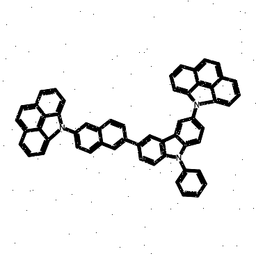 c1ccc(-n2c3ccc(-c4ccc5cc(-n6c7cccc8ccc9cccc6c9c87)ccc5c4)cc3c3cc(-n4c5cccc6ccc7cccc4c7c65)ccc32)cc1